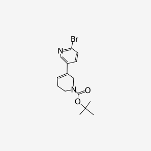 CC(C)(C)OC(=O)N1CCC=C(c2ccc(Br)nc2)C1